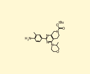 Cc1cc(-c2nc3c(c(N4CCOCC4C)n2)CCN(C(=O)OC(C)(C)C)C3)ccc1N